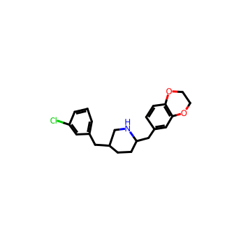 Clc1cccc(CC2CCC(Cc3ccc4c(c3)OCCO4)NC2)c1